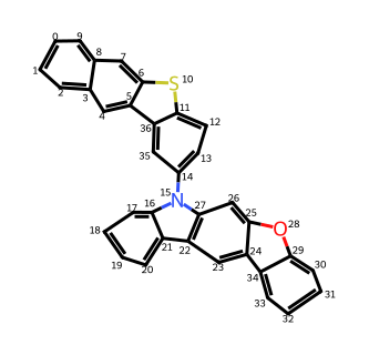 c1ccc2cc3c(cc2c1)sc1ccc(-n2c4ccccc4c4cc5c(cc42)oc2ccccc25)cc13